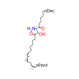 CCCCC/C=C\C/C=C\CCCCCCCC(=O)C(O)C(N)C(=O)CCCCCCCCCCCCCCC